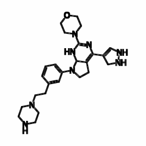 C1=C(C2=C3CCN(c4cccc(CCN5CCNCC5)c4)C3NC(N3CCOCC3)=N2)CNN1